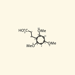 COc1cc(OC)c(CCC(=O)O)c(OC)c1